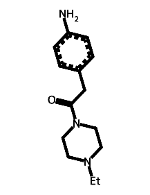 CCN1CCN(C(=O)Cc2ccc(N)cc2)CC1